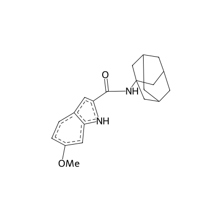 COc1ccc2cc(C(=O)NC34CC5CC(CC(C5)C3)C4)[nH]c2c1